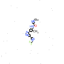 Cc1cc(-c2ncnn3cc(-c4cnn(CC(F)F)c4)cc23)ccc1CNC(=O)c1cnn(C(C)(C)C)c1